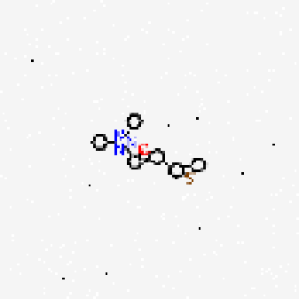 c1ccc(-c2nc(-c3ccccc3)nc(-c3cccc4c3oc3ccc(-c5ccc6sc7ccccc7c6c5)cc34)n2)cc1